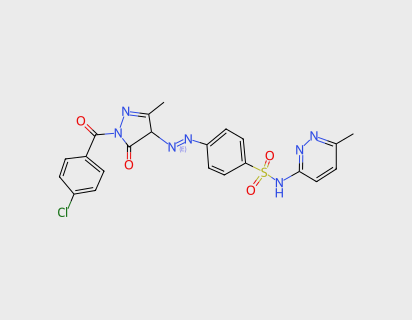 CC1=NN(C(=O)c2ccc(Cl)cc2)C(=O)C1/N=N/c1ccc(S(=O)(=O)Nc2ccc(C)nn2)cc1